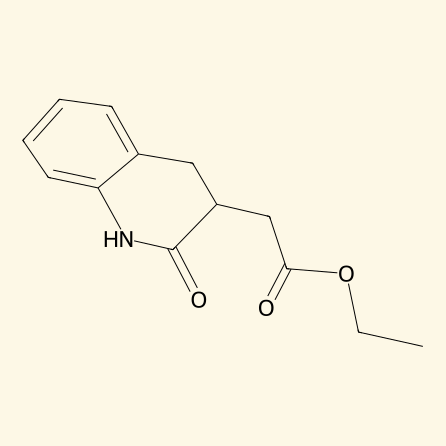 CCOC(=O)CC1Cc2ccccc2NC1=O